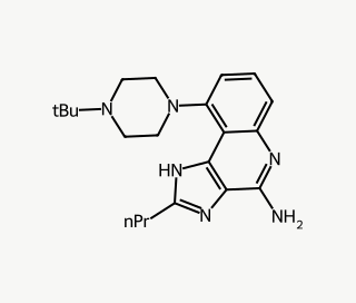 CCCc1nc2c(N)nc3cccc(N4CCN(C(C)(C)C)CC4)c3c2[nH]1